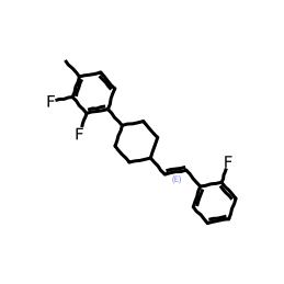 Cc1ccc(C2CCC(/C=C/c3ccccc3F)CC2)c(F)c1F